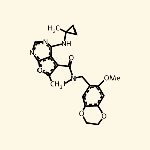 COc1cc2c(cc1CN(I)C(=O)c1c(C)oc3ncnc(NC4(C)CC4)c13)OCCO2